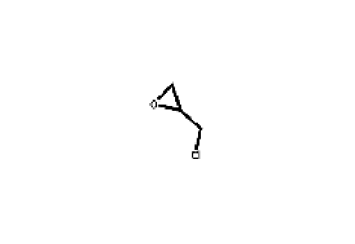 Cl[CH]C1CO1